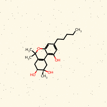 CCCCCc1cc(O)c2c(c1)OC(C)(C)C1=C2C[C@](C)(O)[C@@H](O)C1